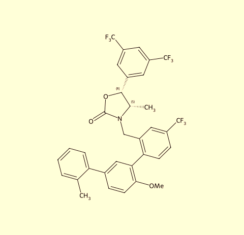 COc1ccc(-c2ccccc2C)cc1-c1ccc(C(F)(F)F)cc1CN1C(=O)O[C@H](c2cc(C(F)(F)F)cc(C(F)(F)F)c2)[C@@H]1C